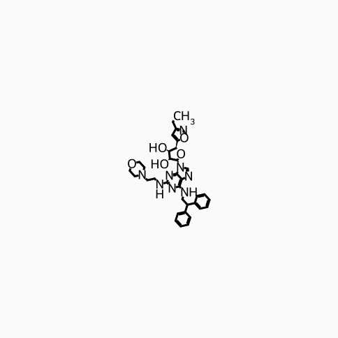 CCc1cc([C@H]2O[C@@H](n3cnc4c(NCC(c5ccccc5)c5ccccc5)nc(NCCN5CCOCC5)nc43)[C@H](O)[C@@H]2O)on1